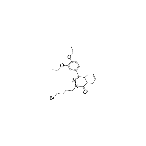 CCOc1ccc(C2=NN(CCCCBr)C(=O)C3CC=CCC23)cc1OCC